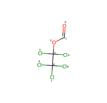 O=[C]OC(Cl)(Cl)C(Cl)(Cl)Cl